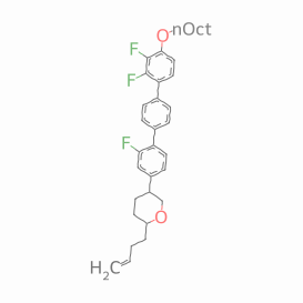 C=CCCC1CCC(c2ccc(-c3ccc(-c4ccc(OCCCCCCCC)c(F)c4F)cc3)c(F)c2)CO1